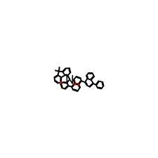 CC1(C)c2ccccc2-c2c(N(c3ccc(-c4ccc(-c5ccccc5)c5ccccc45)cc3)c3ccccc3-c3ccccc3)cccc21